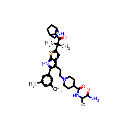 CCC(NC(=O)C1CCN(CCc2c(-c3cc(C)cc(C)c3)[nH]c3sc(C(C)(C)C(=O)C4C5CCC4NC5)cc23)CC1)C(N)=O